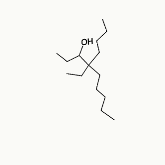 CCCCCC(CC)(CCCC)C(O)CC